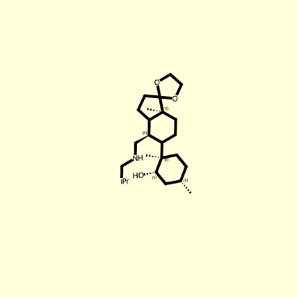 CC(C)CNC[C@H]1C2CCC3(OCCO3)[C@@]2(C)CCC1[C@@]1(C)CC[C@H](C)C[C@@H]1O